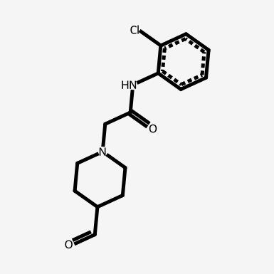 O=CC1CCN(CC(=O)Nc2ccccc2Cl)CC1